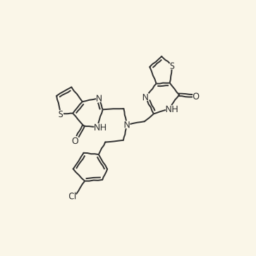 O=c1[nH]c(CN(CCc2ccc(Cl)cc2)Cc2nc3ccsc3c(=O)[nH]2)nc2ccsc12